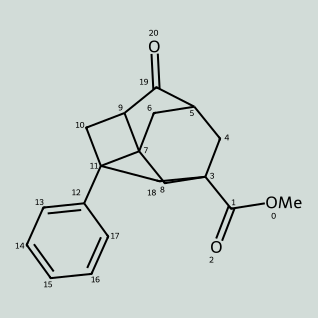 COC(=O)C12CC3CC4(C1)C(CC4(c1ccccc1)C2)C3=O